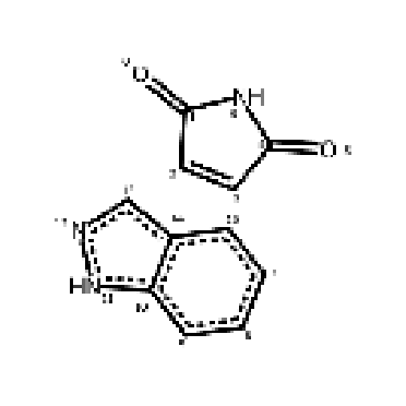 O=C1C=CC(=O)N1.c1ccc2[nH]ncc2c1